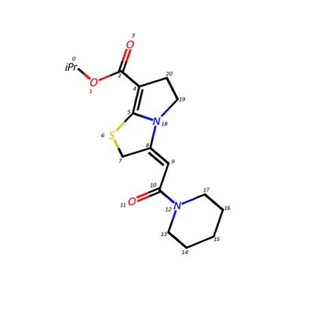 CC(C)OC(=O)C1=C2SCC(=CC(=O)N3CCCCC3)N2CC1